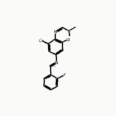 CN(C)/C=N\c1c(Cl)cc(/N=C/c2ccccc2F)cc1Cl